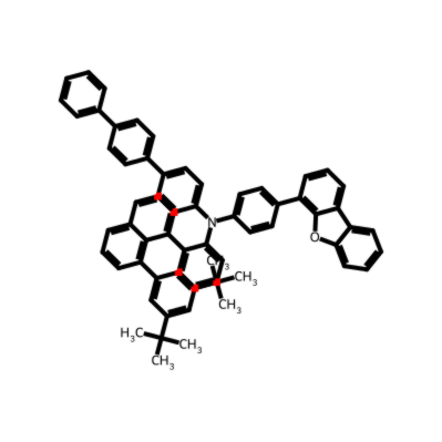 CC(C)(C)c1cc(-c2cccc3cccc(-c4ccccc4N(c4ccc(-c5ccc(-c6ccccc6)cc5)cc4)c4ccc(-c5cccc6c5oc5ccccc56)cc4)c23)cc(C(C)(C)C)c1